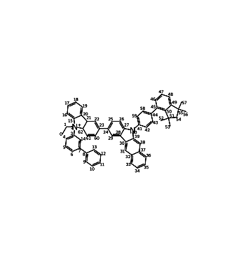 CC[N+]1(c2cccc(-c3ccccc3)c2)c2ccccc2C2C=C(c3ccc4c(c3)c3cc5ccccc5cc3n4-c3ccc(-c4cccc5c4C(C)(C)CC5(C)C)cc3)C=CC21